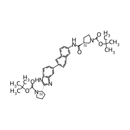 CC(C)(C)OC(=O)N1CC[C@H](C(=O)Nc2ccc3cc(-c4ccc5[nH]c([C@@H]6CCCN6C(=O)OC(C)(C)C)nc5c4)ccc3c2)C1